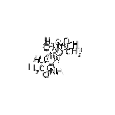 Cc1cc(-c2nc3cc4c(nc3n2[C@@H](C)c2ccccc2)N(C)C(=O)C4(C)C)c[nH]c1=O